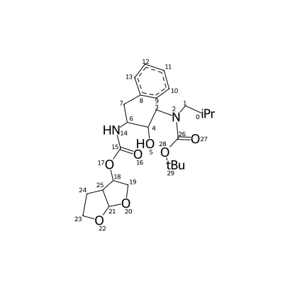 CC(C)CN(CC(O)C(Cc1ccccc1)NC(=O)OC1COC2OCCC12)C(=O)OC(C)(C)C